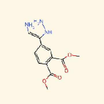 COC(=O)c1ccc(/C(=C/N)NN)cc1C(=O)OC